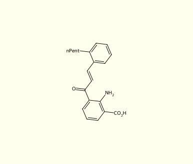 CCCCCc1ccccc1C=CC(=O)c1cccc(C(=O)O)c1N